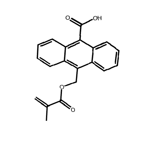 C=C(C)C(=O)OCc1c2ccccc2c(C(=O)O)c2ccccc12